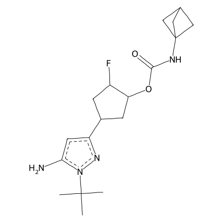 CC(C)(C)n1nc(C2CC(F)C(OC(=O)NC34CC(C3)C4)C2)cc1N